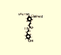 CCCCCOc1cc(/C=C/C(=O)NCCc2ccc(O)cc2)ccc1SCCCCC